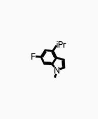 CC(C)c1cc(F)cc2c1ccn2C